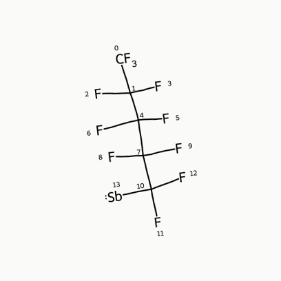 FC(F)(F)C(F)(F)C(F)(F)C(F)(F)[C](F)(F)[Sb]